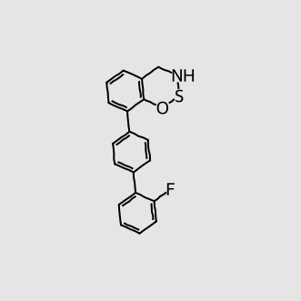 Fc1ccccc1-c1ccc(-c2cccc3c2OSNC3)cc1